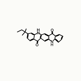 CCC(C)(C)c1ccc2c(=O)c3cc4[nH]c5ccccc5c(=O)c4cc3[nH]c2c1